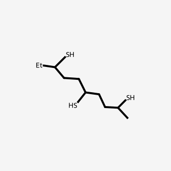 [CH2]CC(S)CCC(S)CCC(C)S